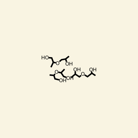 CC(CO)OC(C)CO.CC(O)COC(C)CO.CC(O)COCC(C)O